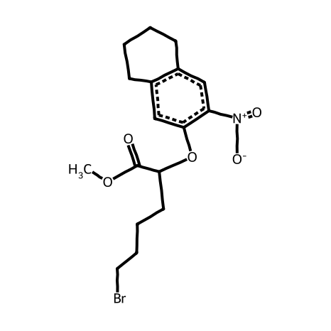 COC(=O)C(CCCCBr)Oc1cc2c(cc1[N+](=O)[O-])CCCC2